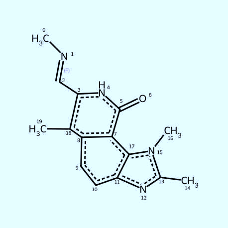 C/N=C/c1[nH]c(=O)c2c(ccc3nc(C)n(C)c32)c1C